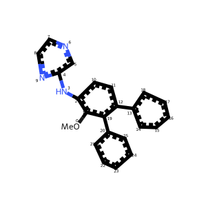 COc1c(Nc2cnccn2)ccc(-c2ccccc2)c1-c1ccccc1